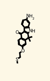 CSCCOc1ccc2c(c1)C(C)(C)c1[nH]c3cc(N)ccc3c1C2=O